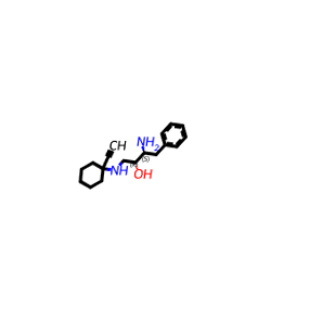 C#CC1(NC[C@@H](O)[C@@H](N)Cc2ccccc2)CCCCC1